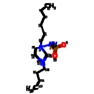 CCCCCC[N+]1(N[SH](=O)=O)C=CN(CCCC)C1